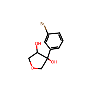 OC1COCC1(O)c1cccc(Br)c1